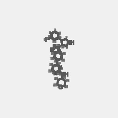 Fc1cccc([C@H]2CNC[C@@H]2c2nnc3cc(-c4ccnc(NC5CCOCC5)n4)ccn23)c1